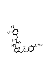 COc1ccc(C[S+]([O-])Cc2csc(NC(=O)NCc3ccc(Cl)c(Cl)c3)n2)cc1